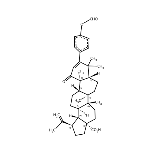 C=C(C)[C@@H]1CC[C@]2(C(=O)O)CC[C@]3(C)[C@H](CC[C@@H]4[C@@]5(C)C(=O)C=C(c6ccc(OC=O)cc6)C(C)(C)[C@@H]5CC[C@]43C)[C@@H]12